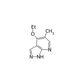 CCOc1c(C)cnc2[nH]ncc12